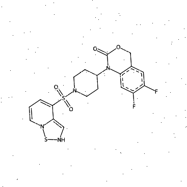 O=C1OCc2cc(F)c(F)cc2N1C1CCN(S(=O)(=O)C2=CC=CN3SNC=C23)CC1